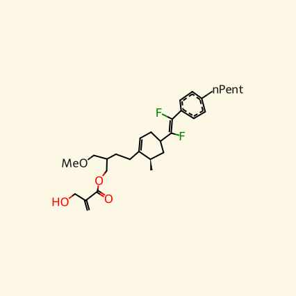 C=C(CO)C(=O)OCC(CCC1=CCC(/C(F)=C(\F)c2ccc(CCCCC)cc2)C[C@H]1C)COC